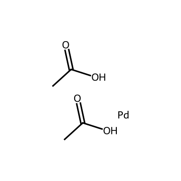 CC(=O)O.CC(=O)O.[Pd]